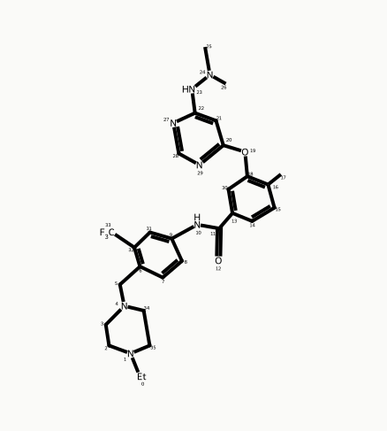 CCN1CCN(Cc2ccc(NC(=O)c3ccc(C)c(Oc4cc(NN(C)C)ncn4)c3)cc2C(F)(F)F)CC1